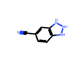 N#Cc1ccc2c(c1)NNN2